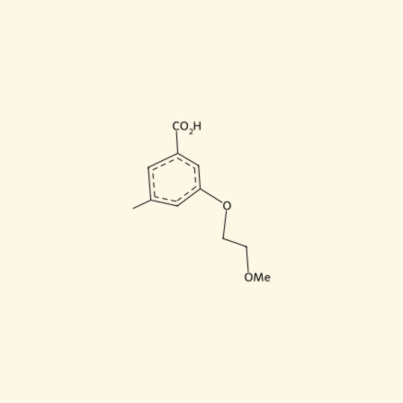 COCCOc1cc(C)cc(C(=O)O)c1